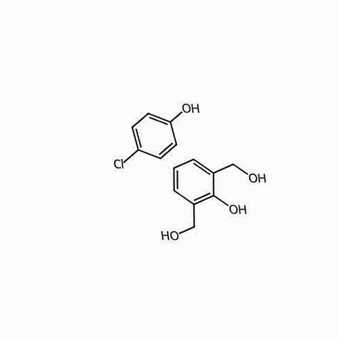 OCc1cccc(CO)c1O.Oc1ccc(Cl)cc1